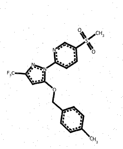 Cc1ccc(COc2cc(C(F)(F)F)nn2-c2ccc(S(C)(=O)=O)cn2)cc1